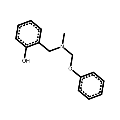 CN(COc1ccccc1)Cc1ccccc1O